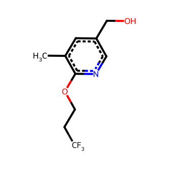 Cc1cc(CO)cnc1OCCC(F)(F)F